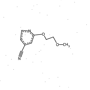 COCCOc1cc(C#N)ccn1